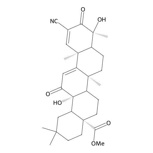 COC(=O)[C@@]12CCC3[C@](O)(C(=O)C=C4[C@@]5(C)C=C(C#N)C(=O)[C@@](C)(O)C5CC[C@]43C)C1CC(C)(C)CC2